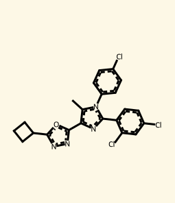 Cc1c(-c2nnc(C3CCC3)o2)nc(-c2ccc(Cl)cc2Cl)n1-c1ccc(Cl)cc1